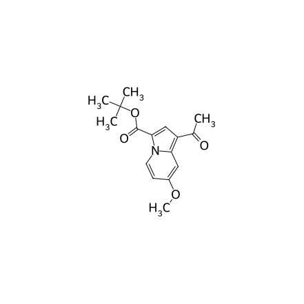 COc1ccn2c(C(=O)OC(C)(C)C)cc(C(C)=O)c2c1